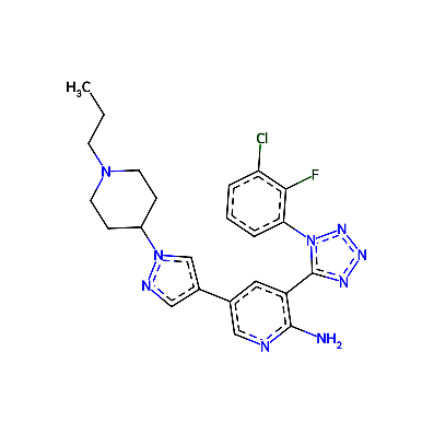 CCCN1CCC(n2cc(-c3cnc(N)c(-c4nnnn4-c4cccc(Cl)c4F)c3)cn2)CC1